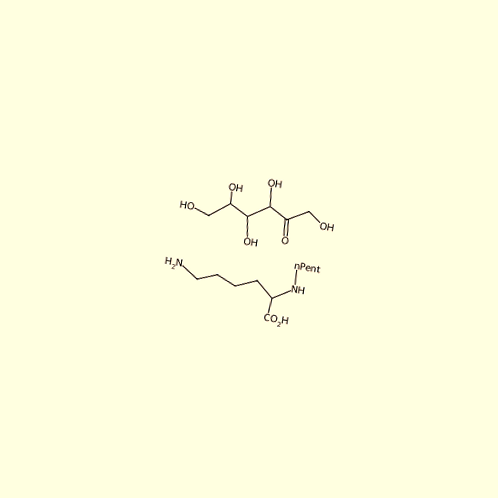 CCCCCNC(CCCCN)C(=O)O.O=C(CO)C(O)C(O)C(O)CO